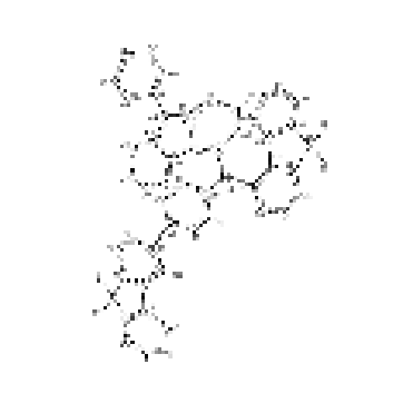 CC1(C)c2ccccc2-c2cc(-c3ccc(N(c4cccc5c4-c4ccccc4C5(C)C)c4cccc5c4c4ccccc4n5-c4ccccc4)cc3)ccc21